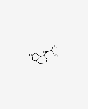 CC(C)NC1CCCC2CNCC21